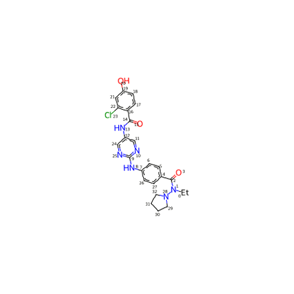 CCN(C(=O)c1ccc(Nc2ncc(NC(=O)c3ccc(O)cc3Cl)cn2)cc1)N1CCCC1